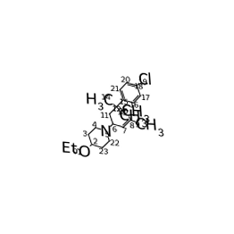 CCOC1CCN(C(C=C(C)C)CC(C)(C)c2ccc(Cl)cc2)CC1